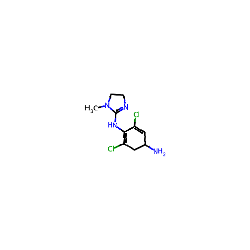 CN1CCN=C1NC1=C(Cl)CC(N)C=C1Cl